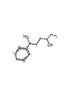 CCC(O)CCC(O)c1ccccc1